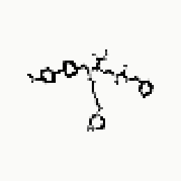 COc1ccc(-c2ccc(CN(OCCOCCN3CCNCC3)[C@H](CCNC(=O)OCc3ccccc3)C(=O)NO)cc2)cc1